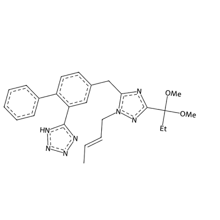 CC=CCn1nc(C(CC)(OC)OC)nc1Cc1ccc(-c2ccccc2)c(-c2nnn[nH]2)c1